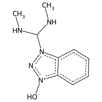 CNC(NC)n1n[n+](O)c2ccccc21